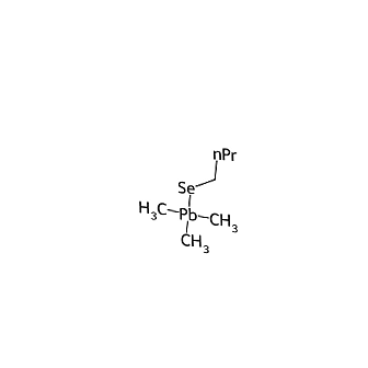 CCCC[Se][Pb]([CH3])([CH3])[CH3]